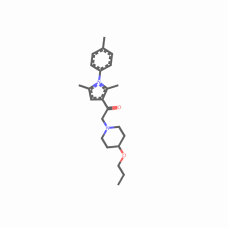 CCCOC1CCN(CC(=O)c2cc(C)n(-c3ccc(C)cc3)c2C)CC1